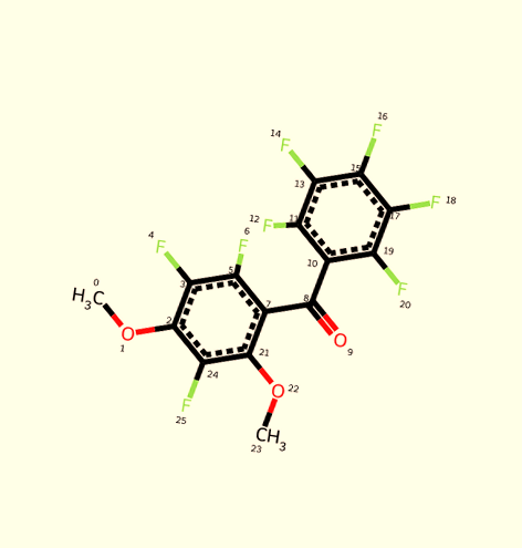 COc1c(F)c(F)c(C(=O)c2c(F)c(F)c(F)c(F)c2F)c(OC)c1F